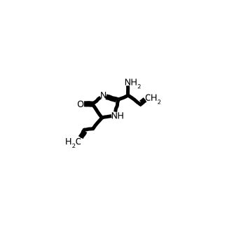 C=CCC1NC(C(N)C=C)=NC1=O